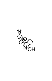 CN(C)C1CCN(S(=O)(=O)c2cnc(O)c3ccccc23)C1